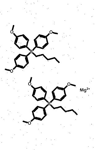 CCCCC[B-](c1ccc(OC)cc1)(c1ccc(OC)cc1)c1ccc(OC)cc1.CCCCC[B-](c1ccc(OC)cc1)(c1ccc(OC)cc1)c1ccc(OC)cc1.[Mg+2]